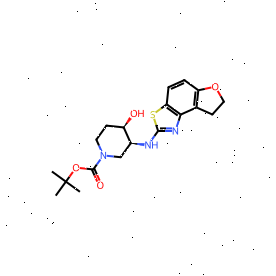 CC(C)(C)OC(=O)N1CC[C@@H](O)[C@@H](Nc2nc3c4c(ccc3s2)OCC4)C1